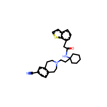 N#Cc1ccc2c(c1)CCN(CCC1(NC(=O)Cc3cccc4ccsc34)CCCCC1)CC2